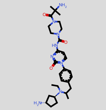 CCN(C(C)Cc1ccc(-n2ccc(NC(=O)N3CCN(C(=O)C(C)(C)N)CC3)nc2=O)cc1)[C@H]1CC[C@H](N)C1